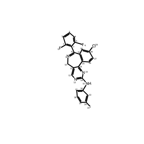 Fc1cccc(F)c1C1=NCc2cnc(Nc3cccc(I)c3)nc2-c2ccc(Cl)cc21